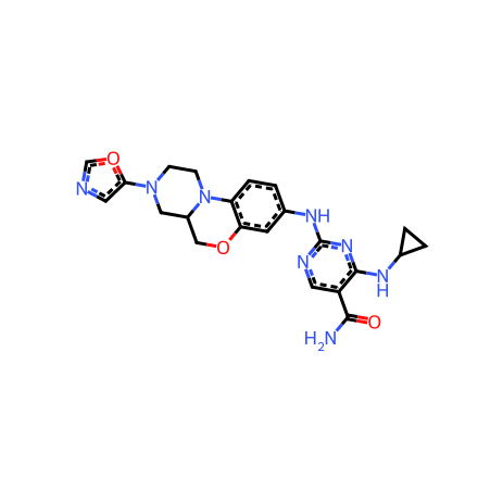 NC(=O)c1cnc(Nc2ccc3c(c2)OCC2CN(c4cnco4)CCN32)nc1NC1CC1